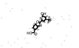 O=C(O)c1ccc2oc(-c3cc(C(F)(F)F)cc(O)n3)nc2c1